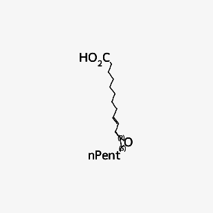 CCCCC[C@@H]1O[C@@H]1CC=CCCCCCCCC(=O)O